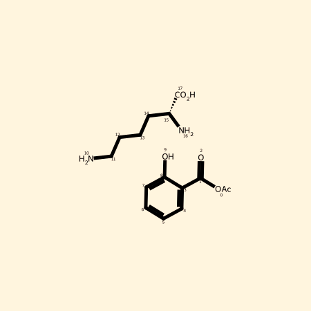 CC(=O)OC(=O)c1ccccc1O.NCCCC[C@@H](N)C(=O)O